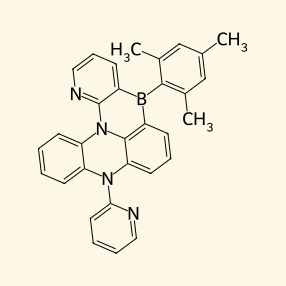 Cc1cc(C)c(B2c3cccnc3N3c4ccccc4N(c4ccccn4)c4cccc2c43)c(C)c1